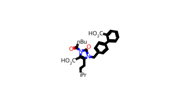 CCCCC(=O)n1c(C(=O)O)c(CCC(C)C)n(Cc2ccc(-c3ccccc3C(=O)O)cc2)c1=O